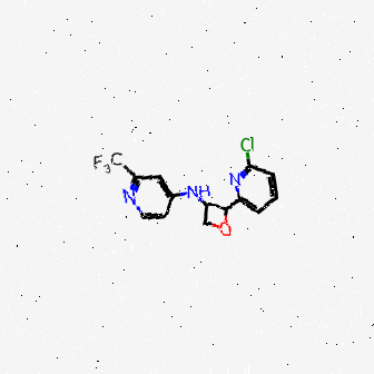 FC(F)(F)c1cc(NC2COC2c2cccc(Cl)n2)ccn1